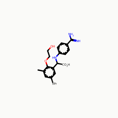 CCCc1cc(C)c(OCCO)c(C(Nc2ccc(C(=N)N)cc2)C(=O)O)c1